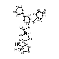 O=C(Cn1nc(-c2ccncc2)cc1Cc1ccc(F)cc1)N1CCC(N2CCCS2(O)O)CC1